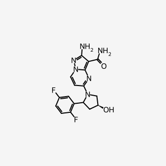 NC(=O)c1c(N)nn2ccc(N3C[C@@H](O)CC3c3cc(F)ccc3F)nc12